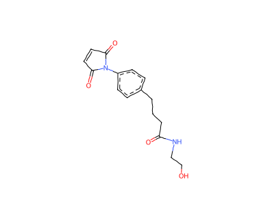 O=C(CCCc1ccc(N2C(=O)C=CC2=O)cc1)NCCO